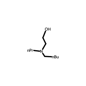 CCCCCN(CCC)CCO